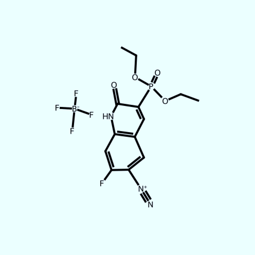 CCOP(=O)(OCC)c1cc2cc([N+]#N)c(F)cc2[nH]c1=O.F[B-](F)(F)F